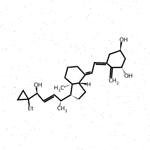 C=C1/C(=C\C=C2/CCC[C@]3(C)[C@@H]([C@H](C)/C=C/[C@H](O)C4(CC)CC4)CC[C@@H]23)C[C@@H](O)C[C@@H]1O